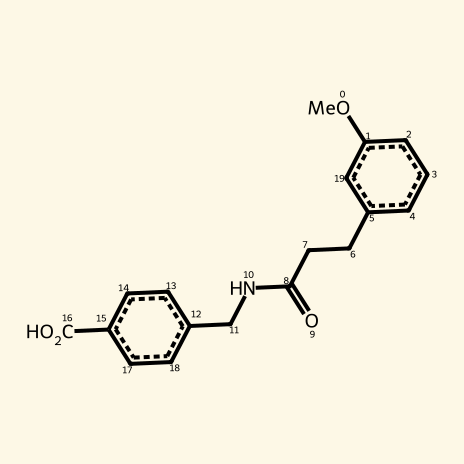 COc1cccc(CCC(=O)NCc2ccc(C(=O)O)cc2)c1